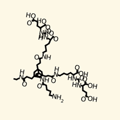 CCNC(=O)CCC12CC(NC(=O)CCCCN)=C3C(CCC(=O)NCCCCC(NC(=O)NC(CCC(=O)O)C(=O)O)C(=O)O)(C1)CC3(CCC(=O)NCCCCC(NC(=O)NC(CCC(=O)O)C(=O)O)C(=O)O)C2